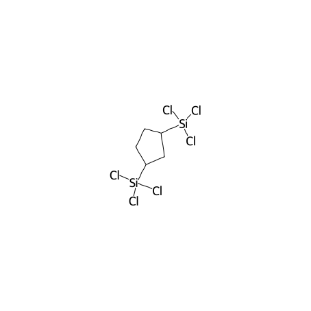 Cl[Si](Cl)(Cl)C1CCC([Si](Cl)(Cl)Cl)C1